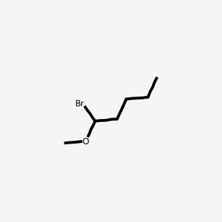 CCCCC(Br)OC